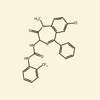 CN1C(=O)C(NC(=O)Nc2ccccc2C(F)(F)F)N=C(c2ccccc2)c2cc(Cl)ccc21